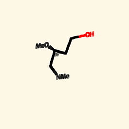 CNC[C@H](CCO)OC